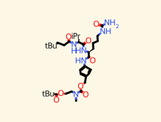 CC(C)[C@H](NC(=O)CCC(C)(C)C)C(=O)N[C@@H](CCCCNC(N)=O)C(=O)Nc1ccc(COC(=O)N(C)CCOC(=O)C(C)(C)C)cc1